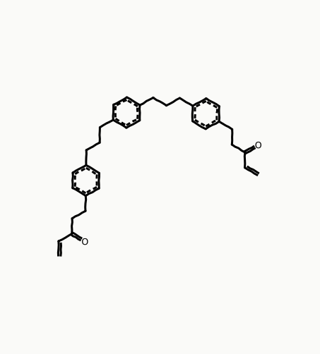 C=CC(=O)CCc1ccc(CCCc2ccc(CCCc3ccc(CCC(=O)C=C)cc3)cc2)cc1